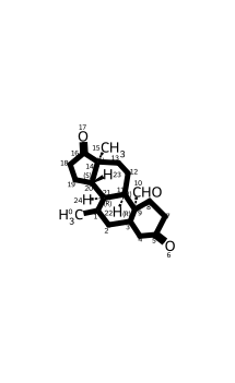 CC1CC2CC(=O)CC[C@]2(C=O)[C@@H]2CC[C@]3(C)C(=O)CC[C@H]3[C@H]12